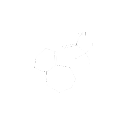 C1CCC2=NCCCN2CC1.O=C(O)C(F)(F)F